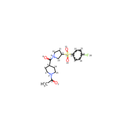 CC(=O)N1CCC(C(=O)N2CCC(S(=O)(=O)c3ccc(F)cc3)C2)CC1